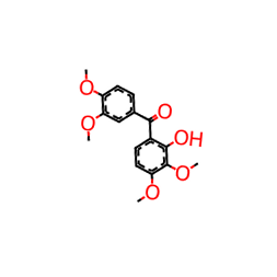 COc1ccc(C(=O)c2ccc(OC)c(OC)c2O)cc1OC